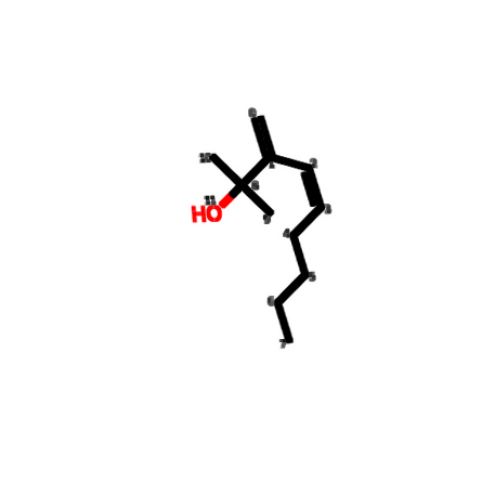 C=C(/C=C\CCCC)C(C)(C)O